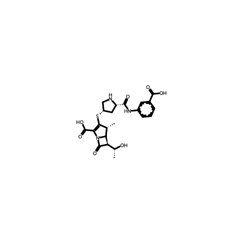 C[C@H]1C(S[C@@H]2CN[C@H](C(=O)Nc3cccc(C(=O)O)c3)C2)=C(C(=O)O)N2C(=O)[C@H]([C@@H](C)O)C12